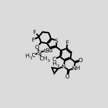 Cc1c(-c2cc3c(s2)CCC(F)(F)C3O[Si](C)(C)C(C)(C)C)c(F)cc2c(=O)[nH]c(=O)n(C3CC3)c12